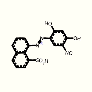 O=Nc1cc(/N=N/c2cccc3cccc(S(=O)(=O)O)c23)c(O)cc1O